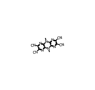 [C-]#[N+]c1nc2c(nc1[N+]#[C-])N(C)c1nc(C#N)c(C#N)nc1N2C